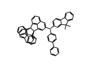 CC1(C)c2ccccc2-c2ccc(N(c3ccc(-c4ccccc4)cc3)c3cc4c5c(cccc5c3)C35c6ccccc6-c6ccccc6C43c3cccc4cccc5c34)cc21